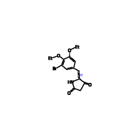 CCOc1cc(/C=C2\NC(=O)CC2=O)cc(Br)c1OCC